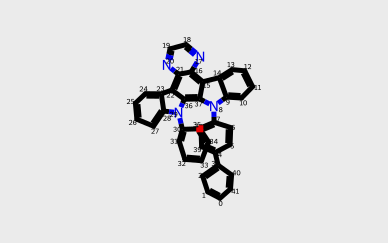 c1ccc(-c2ccc(-n3c4ccccc4c4c5nccnc5c5c6ccccc6n(-c6ccccc6)c5c43)cc2)cc1